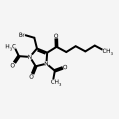 CCCCCC(=O)c1c(CBr)n(C(C)=O)c(=O)n1C(C)=O